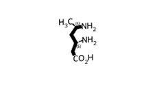 C[C@H](N)C[C@H](N)CC(=O)O